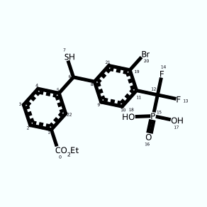 CCOC(=O)c1cccc(C(S)c2ccc(C(F)(F)P(=O)(O)O)c(Br)c2)c1